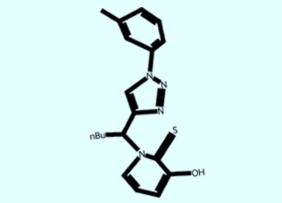 CCCCC(c1cn(-c2cccc(C)c2)nn1)n1cccc(O)c1=S